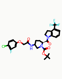 CC(C)(C)OC(=O)N1CC(NC(=O)COc2ccc(Cl)c(F)c2)CC[C@H]1C(=O)N1CCc2c1cccc2C(F)(F)F